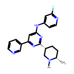 CC(=O)N1C[C@H](c2nc(Nc3ccnc(F)c3)cc(-c3cccnc3)n2)CC[C@@H]1C